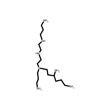 NCCCNCCNCCN(CCCN)CCC(N)CCCN